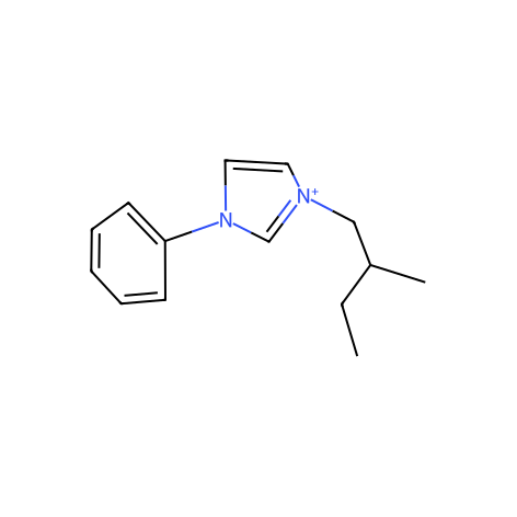 CCC(C)C[n+]1ccn(-c2ccccc2)c1